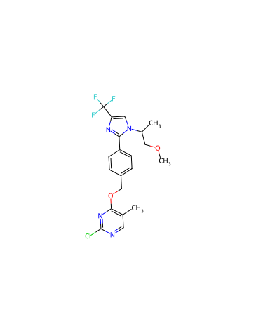 COCC(C)n1cc(C(F)(F)F)nc1-c1ccc(COc2nc(Cl)ncc2C)cc1